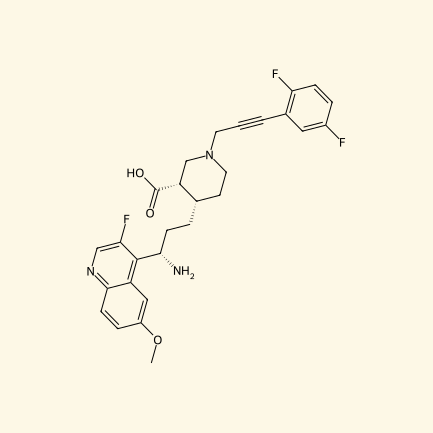 COc1ccc2ncc(F)c([C@@H](N)CC[C@H]3CCN(CC#Cc4cc(F)ccc4F)C[C@H]3C(=O)O)c2c1